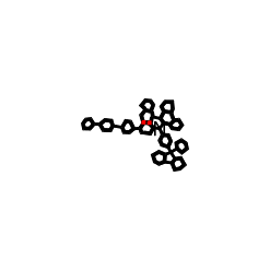 c1ccc(-c2ccc(-c3ccc(-c4ccc(N(c5ccc(C6(c7ccccc7)c7ccccc7-c7ccccc76)cc5)c5c(-c6cccc7ccccc67)c6ccccc6c6ccccc56)cc4)cc3)cc2)cc1